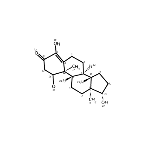 C[C@]12CC[C@H]3[C@@H](CCC4=C(O)C(=O)CC([O])[C@@]43C)[C@@H]1CC[C@@H]2O